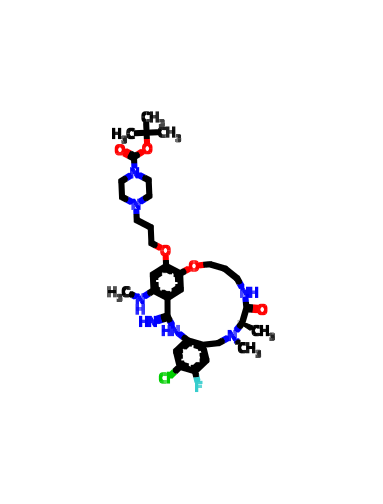 CNc1cc(OCCCN2CCN(C(=O)OC(C)(C)C)CC2)c2cc1C(=N)Nc1cc(Cl)c(F)cc1CN(C)[C@H](C)C(=O)NCCCO2